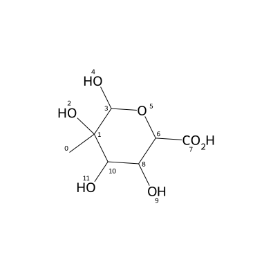 CC1(O)C(O)OC(C(=O)O)C(O)C1O